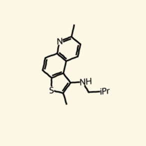 Cc1ccc2c(ccc3sc(C)c(NCC(C)C)c32)n1